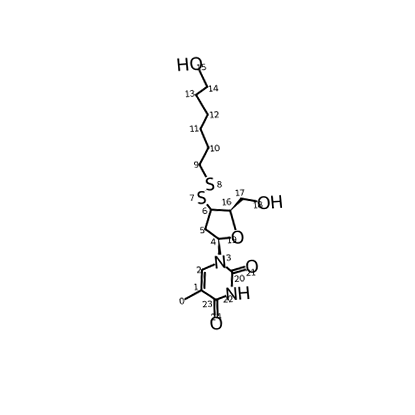 Cc1cn([C@H]2CC(SSCCCCCCO)[C@@H](CO)O2)c(=O)[nH]c1=O